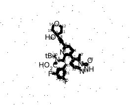 Cc1c(-c2ccc(C#CC3(O)CCOCC3)nc2[C@H](Cc2cc(F)cc(F)c2)N(C(=O)O)C(C)(C)C)ccc2n[nH]c(=O)n12